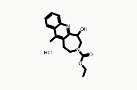 CCOC(=O)N1CCc2c(nc3ccccc3c2C)C(O)C1.Cl